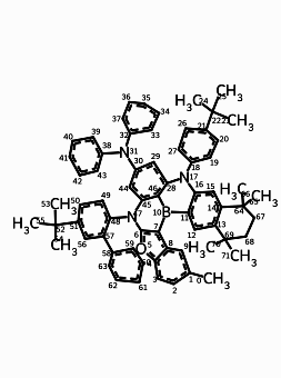 Cc1ccc2oc3c(c2c1)B1c2cc4c(cc2N(c2ccc(C(C)(C)C)cc2)c2cc(N(c5ccccc5)c5ccccc5)cc(c21)N3c1ccc(C(C)(C)C)cc1-c1ccccc1)C(C)(C)CCC4(C)C